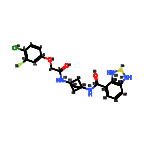 O=C(COc1ccc(Cl)c(F)c1)NC12CC(NC(=O)c3cccc4c3NSN4)(C1)C2